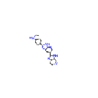 c1cc2nc(-c3cnc4[nH]c(-c5ccc6c(c5)CCN6)nc4c3)[nH]c2cn1